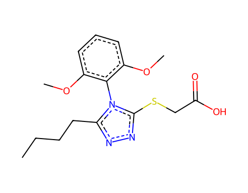 CCCCc1nnc(SCC(=O)O)n1-c1c(OC)cccc1OC